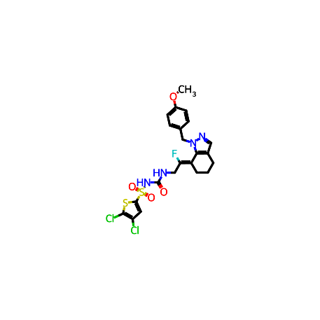 COc1ccc(Cn2ncc3c2/C(=C(\F)CNC(=O)NS(=O)(=O)c2cc(Cl)c(Cl)s2)CCC3)cc1